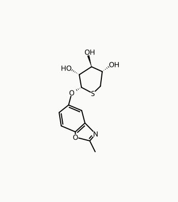 Cc1nc2cc(O[C@H]3SC[C@@H](O)[C@H](O)[C@H]3O)ccc2o1